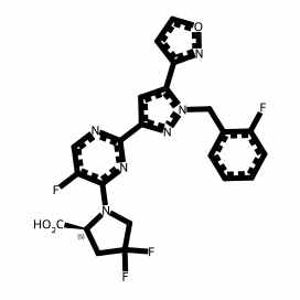 O=C(O)[C@@H]1CC(F)(F)CN1c1nc(-c2cc(-c3ccon3)n(Cc3ccccc3F)n2)ncc1F